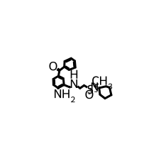 CN(C1CCCCC1)[S+]([O-])CCNCc1cc(C(=O)c2ccccc2)ccc1N